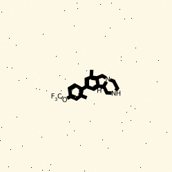 Cc1cc(OC(F)(F)F)ccc1-c1cc(C)c2c(c1)[C@@H]1CNCCN1C2